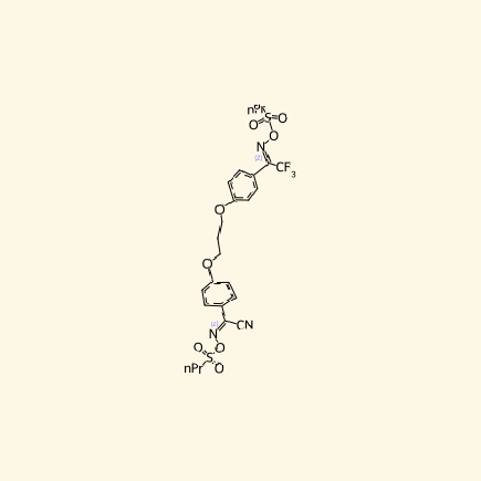 CCCS(=O)(=O)O/N=C(\C#N)c1ccc(OCCCOc2ccc(/C(=N/OS(=O)(=O)CCC)C(F)(F)F)cc2)cc1